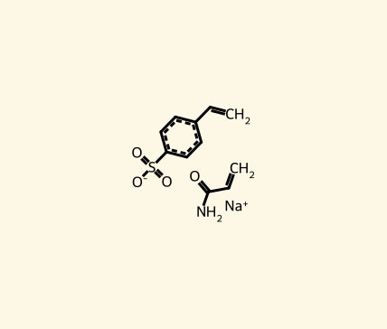 C=CC(N)=O.C=Cc1ccc(S(=O)(=O)[O-])cc1.[Na+]